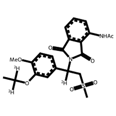 [2H]C([2H])(C)Oc1cc(C([2H])(CS(C)(=O)=O)N2C(=O)c3cccc(NC(C)=O)c3C2=O)ccc1OC